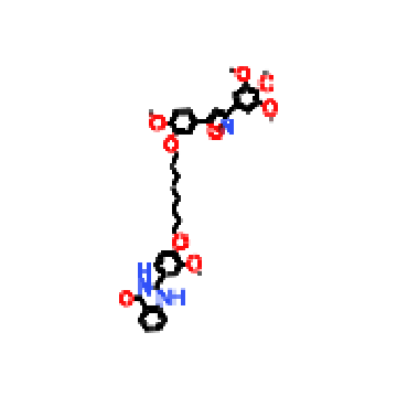 COc1cc(C2NC(=O)c3ccccc3N2)ccc1OCCCCCCCCOc1cc(-c2cc(-c3cc(OC)c(OC)c(OC)c3)no2)ccc1OC